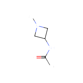 CC(C)C(=O)NC1CN(C(C)C)C1